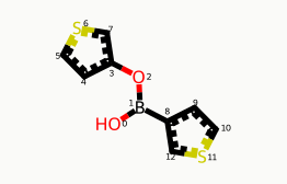 OB(Oc1ccsc1)c1ccsc1